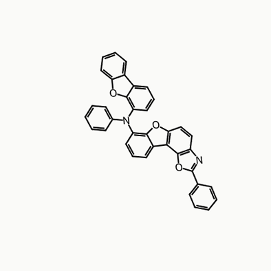 c1ccc(-c2nc3ccc4oc5c(N(c6ccccc6)c6cccc7c6oc6ccccc67)cccc5c4c3o2)cc1